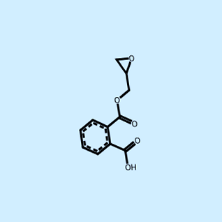 O=C(O)c1ccccc1C(=O)OCC1CO1